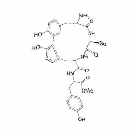 CCC(C)[C@@H]1NC(=O)C(N)Cc2ccc(O)c(c2)-c2cc(ccc2O)CC(C(=O)NC(Cc2ccc(O)cc2)C(=O)OC)NC1=O